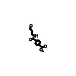 COC(=O)c1ccc(C(=O)NCCC=O)cc1